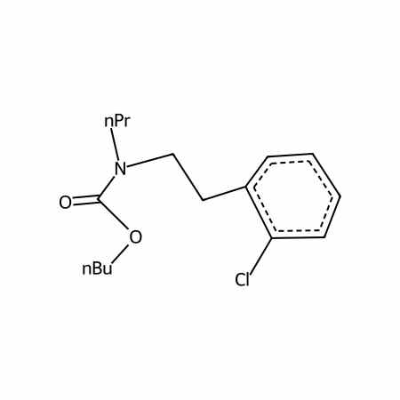 CCCCOC(=O)N(CCC)CCc1ccccc1Cl